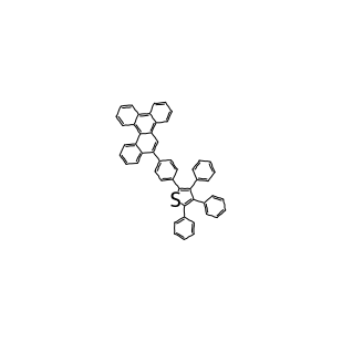 c1ccc(-c2sc(-c3ccc(-c4cc5c6ccccc6c6ccccc6c5c5ccccc45)cc3)c(-c3ccccc3)c2-c2ccccc2)cc1